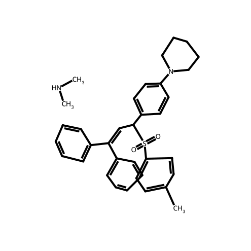 CNC.Cc1ccc(S(=O)(=O)C(C=C(c2ccccc2)c2ccccc2)c2ccc(N3CCCCC3)cc2)cc1